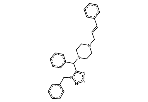 C(=Cc1ccccc1)CN1CCN(C(c2ccccc2)c2nnnn2Cc2ccccc2)CC1